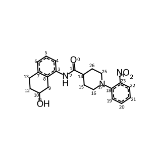 O=C(Nc1cccc2c1CC(O)CC2)C1CCN(c2ccccc2[N+](=O)[O-])CC1